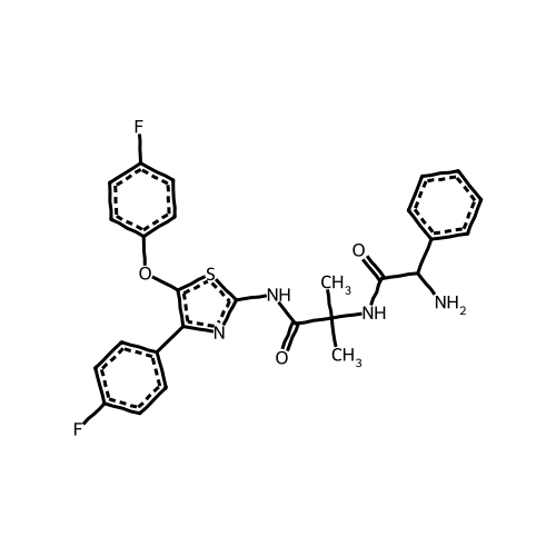 CC(C)(NC(=O)C(N)c1ccccc1)C(=O)Nc1nc(-c2ccc(F)cc2)c(Oc2ccc(F)cc2)s1